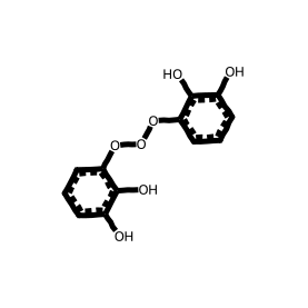 Oc1cccc(OOOc2cccc(O)c2O)c1O